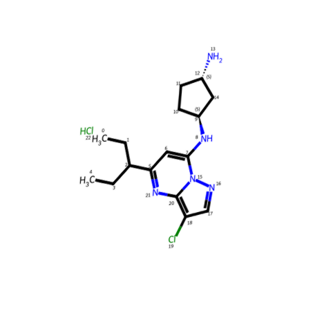 CCC(CC)c1cc(N[C@H]2CC[C@H](N)C2)n2ncc(Cl)c2n1.Cl